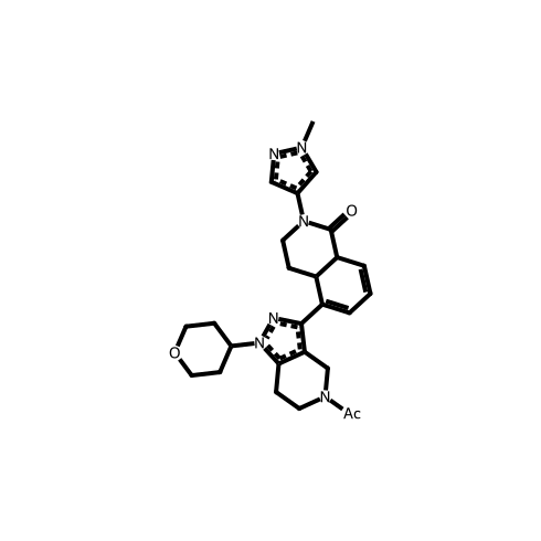 CC(=O)N1CCc2c(c(C3=CC=CC4C(=O)N(c5cnn(C)c5)CCC34)nn2C2CCOCC2)C1